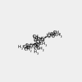 C=CC(=O)Oc1c(C)c(-c2ccc(C#Cc3ccc(OC(=O)C(=C)C)cc3)cc2)c(C)c(OC(=O)C(=C)C)c1C#Cc1ccc(OC(=O)C(=C)C)cc1